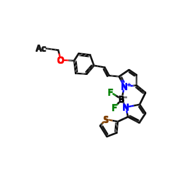 CC(=O)COc1ccc(/C=C/C2=[N+]3C(=Cc4ccc(-c5cccs5)n4[B-]3(F)F)C=C2)cc1